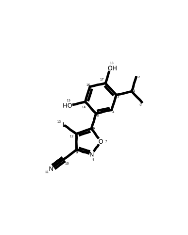 CC(C)c1cc(-c2onc(C#N)c2I)c(O)cc1O